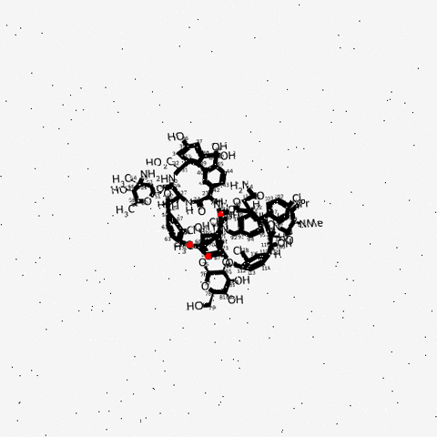 CN[C@H](CC(C)C)C(=O)N[C@H]1C(=O)N[C@@H](CC(N)=O)C(=O)N[C@H]2C(=O)N[C@H]3C(=O)N[C@H](C(=O)N[C@H](C(=O)O)c4cc(O)cc5c4-c4cc3ccc4C5(O)O)[C@H](O[C@H]3C[C@](C)(N)[C@@H](O)[C@H](C)O3)c3ccc(c(Cl)c3)Oc3cc2cc(c3O[C@@H]2O[C@H](CO)[C@@H](O)[C@H](O)[C@H]2O[C@H]2C[C@](C)(NCc3ccc(-c4ccc(Cl)cc4)cc3)[C@@H](O)[C@H](C)O2)Oc2ccc(cc2Cl)[C@H]1O